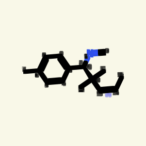 C=N[C@H](c1ccc(C)cc1)C(C)(C)/C=C\C